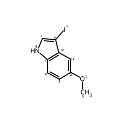 COc1ccc2[nH]cc(I)c2c1